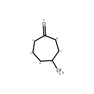 O=C1CCCC(C(F)(F)F)CC1